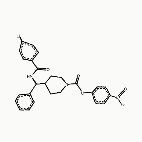 O=C(NC(c1ccccc1)C1CCN(C(=O)Oc2ccc([N+](=O)[O-])cc2)CC1)c1ccc(Cl)cc1